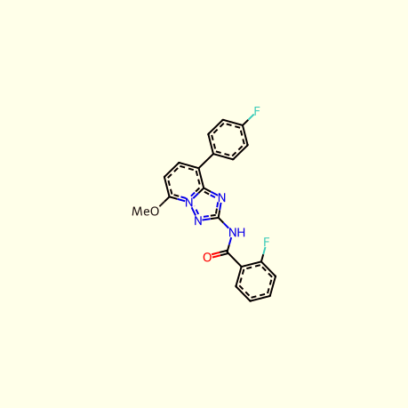 COc1ccc(-c2ccc(F)cc2)c2nc(NC(=O)c3ccccc3F)nn12